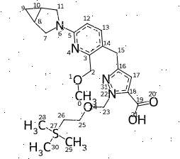 COCc1nc(N2CC3CC3C2)ccc1Cc1cc(C(=O)O)n(COCCS(C)(C)C)n1